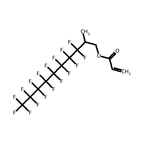 C=CC(=O)OCC(C)C(F)(F)C(F)(F)C(F)(F)C(F)(F)C(F)(F)C(F)(F)C(F)(F)C(F)(F)F